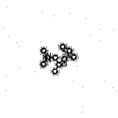 c1ccc(-c2cc(-c3cccc(-c4nc(-c5ccccc5)nc(-c5ccccc5)n4)c3)c3c(c2)oc2cc(-n4c5ccccc5c5ccc6c7ccccc7sc6c54)ccc23)cc1